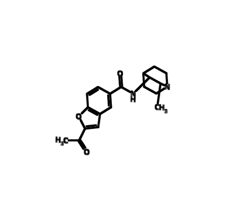 CC(=O)c1cc2cc(C(=O)NC3C4CCN(CC4)C3C)ccc2o1